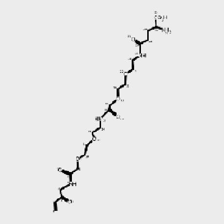 C=CC(=O)CNC(=O)COCCOCCNC(=O)COCCOCCNC(=O)CC[C@H](N)C(=O)O